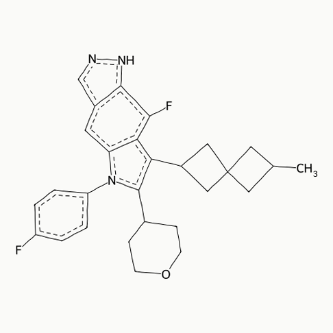 CC1CC2(C1)CC(c1c(C3CCOCC3)n(-c3ccc(F)cc3)c3cc4cn[nH]c4c(F)c13)C2